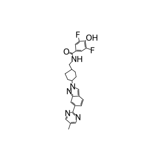 Cc1cnc(-c2ccc3cn(C4CCC(CNC(=O)c5cc(F)c(O)c(F)c5)CC4)nc3c2)nc1